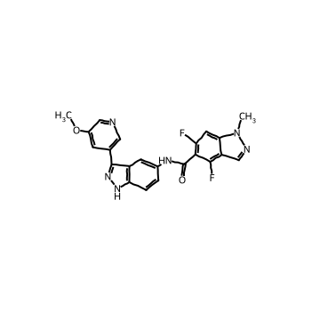 COc1cncc(-c2n[nH]c3ccc(NC(=O)c4c(F)cc5c(cnn5C)c4F)cc23)c1